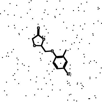 Cc1cc(Cl)ccc1OCC1OCC(=O)O1